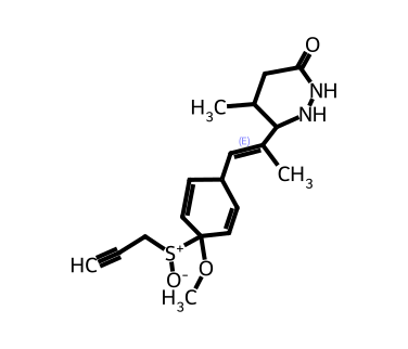 C#CC[S+]([O-])C1(OC)C=CC(/C=C(\C)C2NNC(=O)CC2C)C=C1